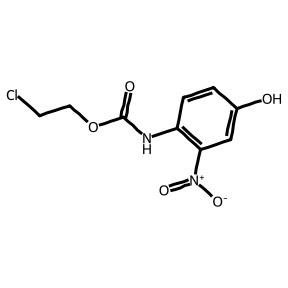 O=C(Nc1ccc(O)cc1[N+](=O)[O-])OCCCl